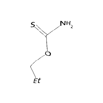 CCCOC(N)=S